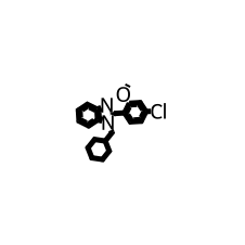 COc1cc(Cl)ccc1-c1nc2ccccc2n1CC1CCCCC1